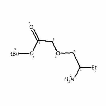 CCC(N)COCC(=O)OC(C)(C)C